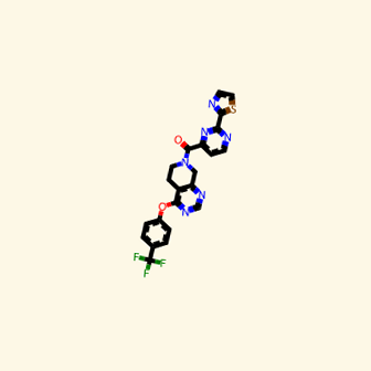 O=C(c1ccnc(-c2nccs2)n1)N1CCc2c(ncnc2Oc2ccc(C(F)(F)F)cc2)C1